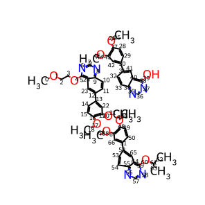 COCCOc1ncnc2ccc(-c3ccc(OC)c(OC)c3)cc12.COc1ccc(-c2ccc3ncnc(O)c3c2)cc1OC.COc1ccc(-c2ccc3ncnc(OC(C)C)c3c2)cc1OC